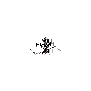 CCCCCCCC/C=C\CCCCCCCC(=O)C1=NC(NCCCCC)(C(=O)CCCCCCC/C=C\CCCCCCCC)CN1CC.COS(=O)(=O)O.Cc1c(C(=O)O)cccc1C(=O)O